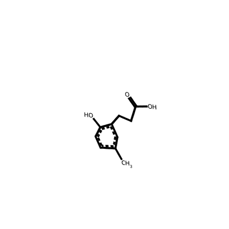 Cc1ccc(O)c(CCC(=O)O)c1